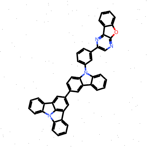 c1cc(-c2cnc3oc4ccccc4c3n2)cc(-n2c3ccccc3c3cc(-c4cc5c6ccccc6n6c7ccccc7c(c4)c56)ccc32)c1